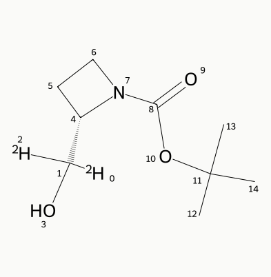 [2H]C([2H])(O)[C@@H]1CCN1C(=O)OC(C)(C)C